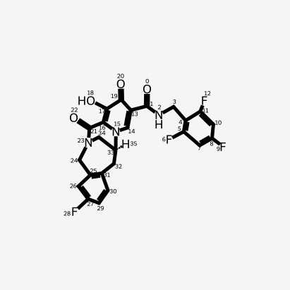 O=C(NCc1c(F)cc(F)cc1F)c1cn2c(c(O)c1=O)C(=O)N1Cc3cc(F)ccc3C[C@H]2C1